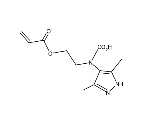 C=CC(=O)OCCN(C(=O)O)c1c(C)n[nH]c1C